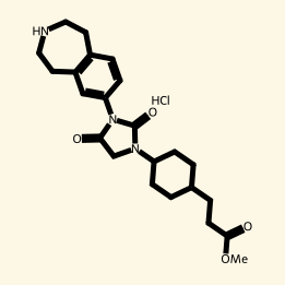 COC(=O)CCC1CCC(N2CC(=O)N(c3ccc4c(c3)CCNCC4)C2=O)CC1.Cl